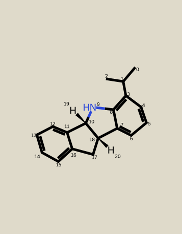 CC(C)c1cccc2c1N[C@H]1c3ccccc3C[C@@H]21